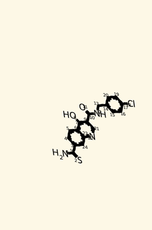 NC(=S)c1ccc2c(O)c(C(=O)NCc3ccc(Cl)cc3)cnc2c1